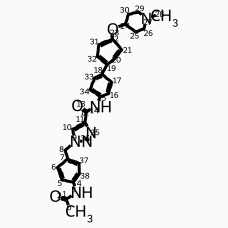 CC(=O)Nc1ccc(Cn2cc(C(=O)Nc3ccc(-c4ccc(OC5CCN(C)CC5)cc4)cc3)nn2)cc1